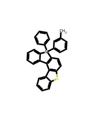 Cc1cccc([Si]2(c3ccccc3)c3ccccc3-c3c2ccc2sc4ccccc4c32)c1